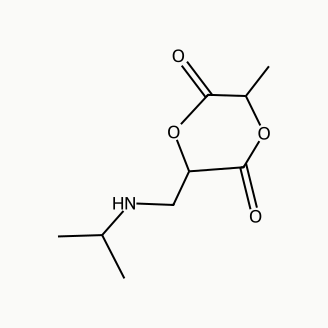 CC(C)NCC1OC(=O)C(C)OC1=O